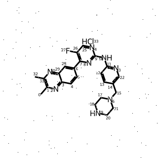 Cc1nc2ccc(-c3nc(Nc4ccc(CN5CCNCC5)cn4)ncc3F)cc2nc1C.Cl